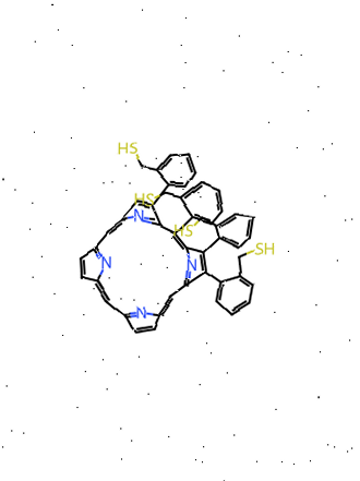 SCc1ccccc1C1=CC2=CC3=NC(=CC4=NC(=CC5=NC(=C(c6ccccc6CS)C1=N2)C(c1ccccc1CS)=C5c1ccccc1CS)C=C4)C=C3